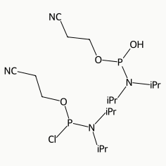 CC(C)N(C(C)C)P(Cl)OCCC#N.CC(C)N(C(C)C)P(O)OCCC#N